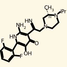 CC(C)N1CCN(CC(=N)c2c(N)[nH]c(-c3c(F)cccc3F)c(O)c2=O)C[C@@H]1C